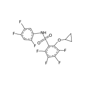 O=S(=O)(Nc1cc(F)c(F)cc1F)c1c(F)c(F)c(F)c(F)c1OC1CC1